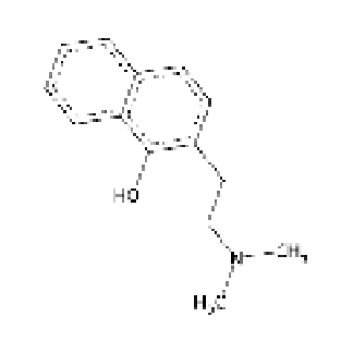 CN(C)CCc1ccc2ccccc2c1O